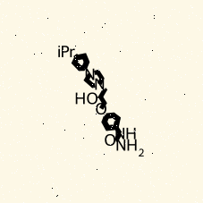 CC(C)c1ccc(N2CCN(C[C@@H](O)COc3ccc(NC(N)=O)cc3)CC2)cc1